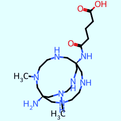 CN1CCNC[C@]2(NC(=O)CCCC(=O)O)CNCCNC[C@](N)(C1)CN(C)CCNC2